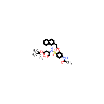 CC(=O)Nc1ccc(S(=O)(=O)NC(C=O)CC(=O)OC(C)(C)C)c(OCCc2ccc3ccccc3c2)c1